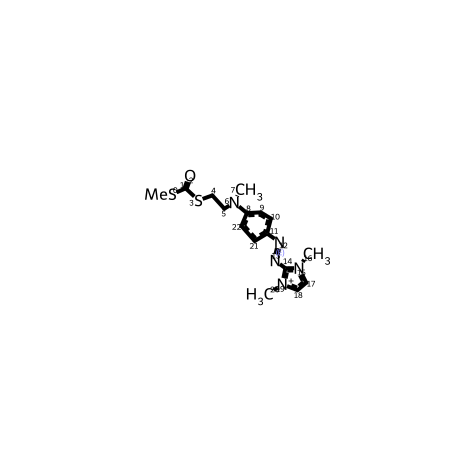 CSC(=O)SCCN(C)c1ccc(/N=N/c2n(C)cc[n+]2C)cc1